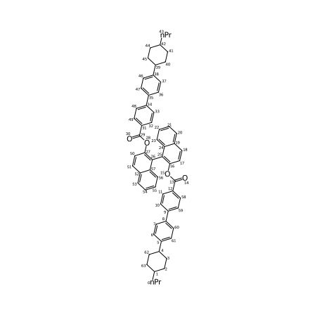 CCCC1CCC(c2ccc(-c3ccc(C(=O)Oc4ccc5ccccc5c4-c4c(OC(=O)c5ccc(-c6ccc(C7CCC(CCC)CC7)cc6)cc5)ccc5ccccc45)cc3)cc2)CC1